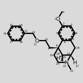 COc1ccc2c(c1)[C@@]1(CCOCc3ccccc3)CCN(C)[C@@H](C2)[C@H]1C